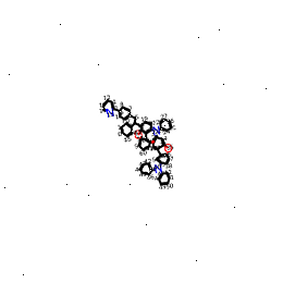 c1ccc(C(Cc2ccc(-c3ccccn3)cc2)c2ccc(N(c3ccccc3)c3ccc4c(c3)oc3ccc(N(c5ccccc5)c5ccccc5)cc34)c3c2oc2ccccc23)cc1